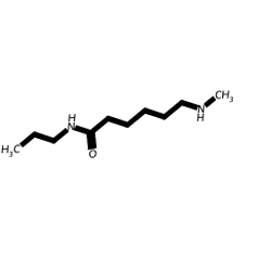 CCCNC(=O)CCCCCNC